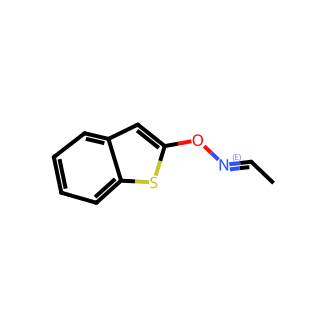 C/C=N/Oc1cc2ccccc2s1